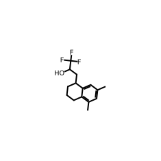 Cc1cc(C)c2c(c1)C(CC(O)C(F)(F)F)CCC2